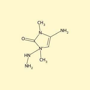 CN1C(=O)[N+](C)(NN)C=C1N